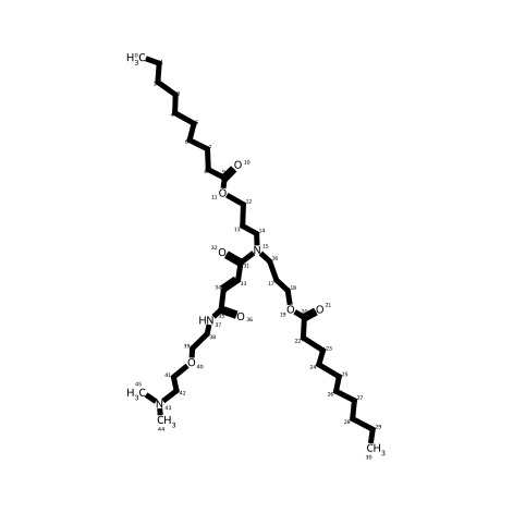 CCCCCCCCCC(=O)OCCCN(CCCOC(=O)CCCCCCCCC)C(=O)C=CC(=O)NCCOCCN(C)C